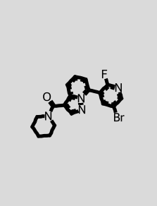 O=C(c1cnn2c(-c3cc(Br)cnc3F)cccc12)N1CCCCC1